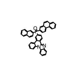 O=P(c1ccc2ccccc2c1)(c1ccc2c(ccc3ccccc32)c1)c1ccc2c(c1)c1ccccc1n1c3ccccc3nc21